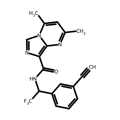 C#Cc1cccc(C(NC(=O)c2ncn3c(C)cc(C)nc23)C(F)(F)F)c1